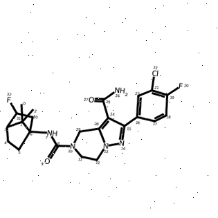 CC1(C)C2CCC1(NC(=O)N1CCn3nc(-c4ccc(F)c(Cl)c4)c(C(N)=O)c3C1)CC2F